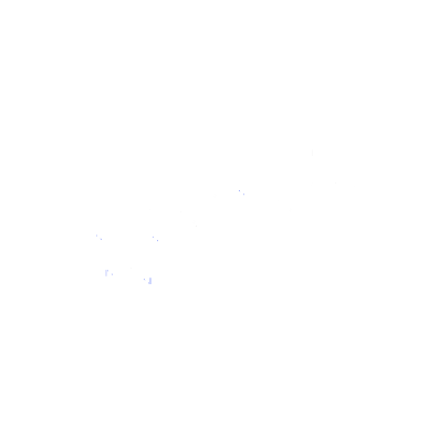 Cc1ccc(SN(F)c2ccc(-c3ccc(N)c(C(=N)N)n3)c(Cl)c2)cc1C